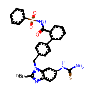 CCCCc1nc2ccc(NC(N)=S)cc2n1Cc1ccc(-c2ccccc2C(=O)NS(=O)(=O)c2ccccc2)cc1